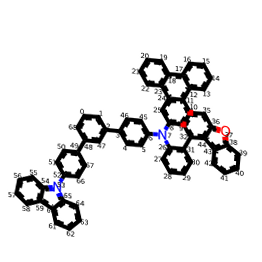 c1cc(-c2ccc(N(c3ccc4c5ccccc5c5ccccc5c4c3)c3ccccc3-c3cccc4oc5ccccc5c34)cc2)cc(-c2ccc(-n3c4ccccc4c4ccccc43)cc2)c1